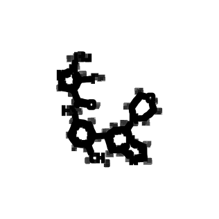 Cc1ccc(NC(=O)c2cnn(C(C)(C)C)c2F)cc1-c1cc(N2CCOCC2)n2ccnc2c1